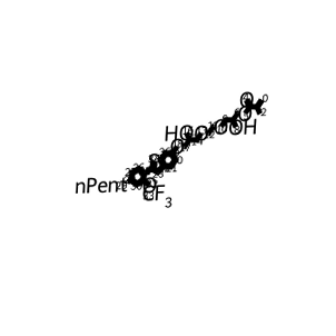 C=C(C)C(=O)OCC(O)COCCOCC(O)COc1ccc2cc(-c3ccc(CCCCC)cc3OC(F)(F)F)sc2c1